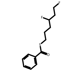 O=C(SCCCC(F)CCF)c1ccccc1